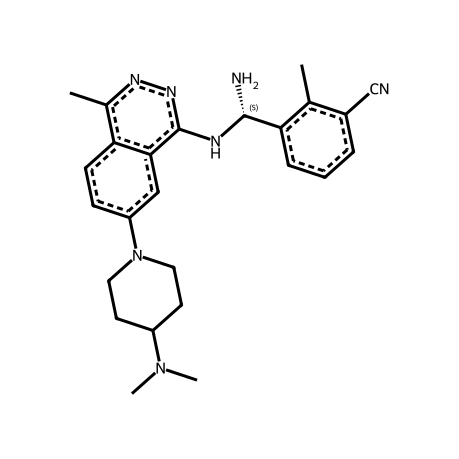 Cc1c(C#N)cccc1[C@@H](N)Nc1nnc(C)c2ccc(N3CCC(N(C)C)CC3)cc12